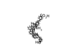 Cn1c(C(=O)Nc2cccc(-c3cccc(Nc4nccc5cc(CN6CC[C@@H](O)C6)cnc45)c3Cl)c2Cl)nc2c1CCN(CCC1CCC(C(=O)O)CC1)C2